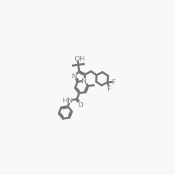 Cc1cc(C(=O)Nc2ccccc2)cc2nc(C(C)(C)O)c(CC3CCC(F)(F)CC3)n12